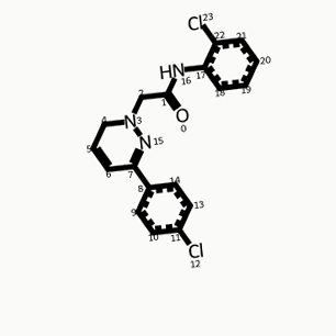 O=C(CN1CC=CC(c2ccc(Cl)cc2)=N1)Nc1ccccc1Cl